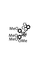 COc1ccc(-n2c(SCc3cccc(Cl)c3Cl)nnc2-c2cc(OC)c(OC)c(OC)c2)cc1